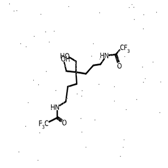 O=C(NCCCC(CO)(CO)CCCNC(=O)C(F)(F)F)C(F)(F)F